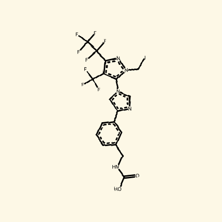 O=C(O)NCc1cccc(-c2cn(-c3c(C(F)(F)F)c(C(F)(F)C(F)(F)F)nn3CI)cn2)c1